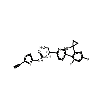 C#Cc1nc(NC(=O)N[C@@H](CO)c2ccc(-c3c(F)cc(F)cc3C3(C#N)CC3)cn2)cs1